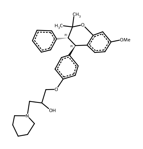 COc1ccc2c(c1)OC(C)(C)[C@@H](c1ccccc1)[C@@H]2c1ccc(OCC(O)CN2CCCCC2)cc1